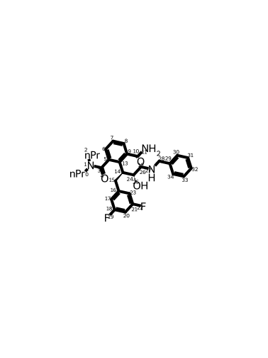 CCCN(CCC)C(=O)c1cccc(C(N)=O)c1[C@H](Cc1cc(F)cc(F)c1)[C@@H](O)CNCc1ccccc1